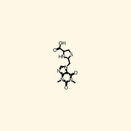 Cn1c(=O)c2c(ncn2CC2NC(C(=O)O)CS2)n(C)c1=O